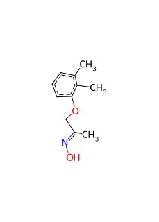 C/C(COc1cccc(C)c1C)=N\O